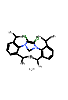 CCCC(CCC)c1cccc(C(CCC)CCC)c1N1CN(c2c(C(CCC)CCC)cccc2C(CCC)CCC)C(Cl)=C1Cl.[Pd+2]